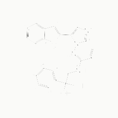 CC(O)(CNc1ccc2ncc(-c3cc4ccccc4o3)n2n1)c1ccccc1